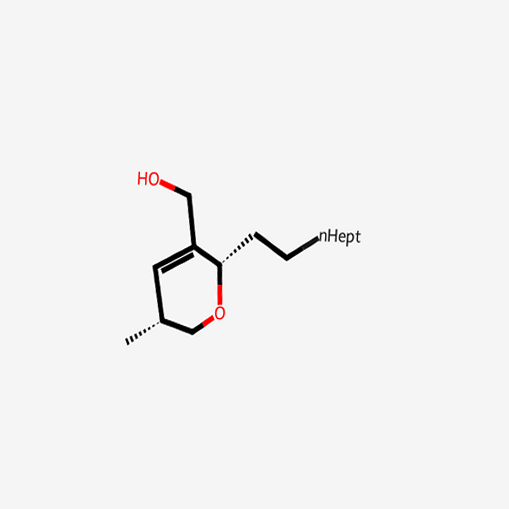 CCCCCCCCC[C@@H]1OC[C@H](C)C=C1CO